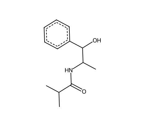 CC(C)C(=O)NC(C)C(O)c1ccccc1